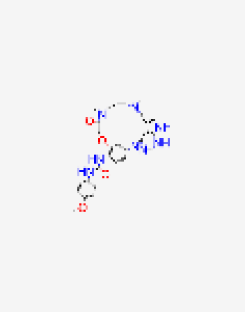 COc1ccc(NC(=O)Nc2ccc3cc2OCC(=O)N(C)CCCN(C)Cc2c[nH]c4c2/C(=N\3)N=CN4)cc1